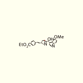 CCOC(=O)c1ccc(/C=C/C2CN3CCC2CC3[C@H](O)c2ccnc3ccc(OC)cc23)cc1